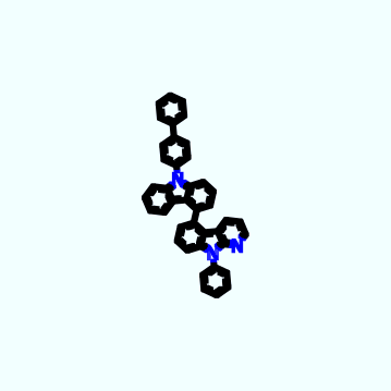 c1ccc(-c2ccc(-n3c4ccccc4c4c(-c5cccc6c5c5cccnc5n6-c5ccccc5)cccc43)cc2)cc1